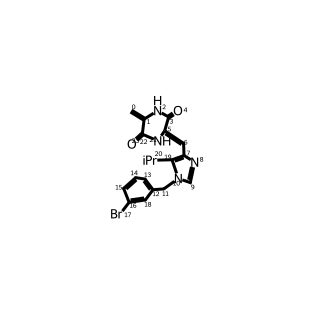 C=c1[nH]c(=O)c(=Cc2ncn(Cc3cccc(Br)c3)c2C(C)C)[nH]c1=O